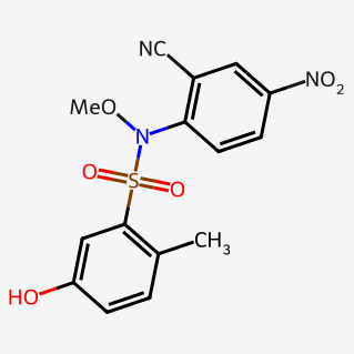 CON(c1ccc([N+](=O)[O-])cc1C#N)S(=O)(=O)c1cc(O)ccc1C